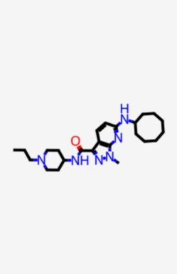 CCCN1CCC(NC(=O)c2nn(C)c3nc(NC4CCCCCCC4)ccc23)CC1